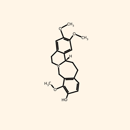 COc1cc2c(cc1OC)[C@@H]1CCc3ccc(O)c(OC)c3CN1CC2